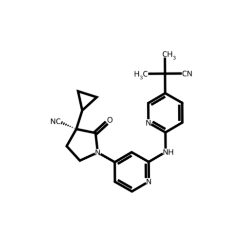 CC(C)(C#N)c1ccc(Nc2cc(N3CC[C@@](C#N)(C4CC4)C3=O)ccn2)nc1